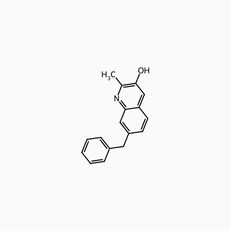 Cc1nc2cc(Cc3ccccc3)ccc2cc1O